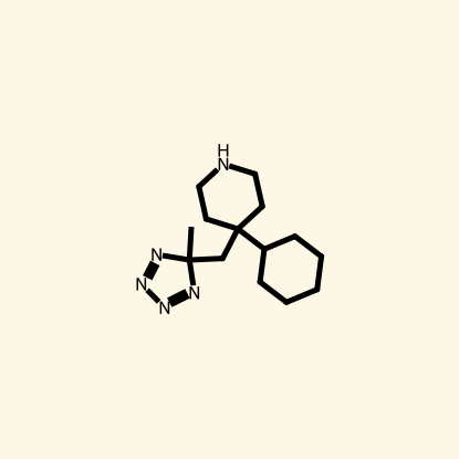 CC1(CC2(C3CCCCC3)CCNCC2)N=NN=N1